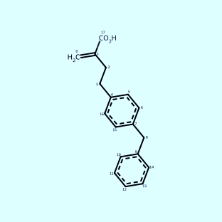 C=C(CCc1ccc(Cc2ccccc2)cc1)C(=O)O